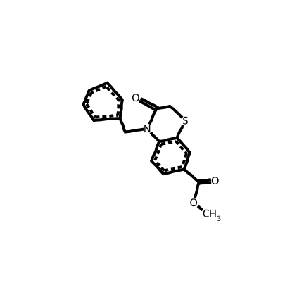 COC(=O)c1ccc2c(c1)SCC(=O)N2Cc1ccccc1